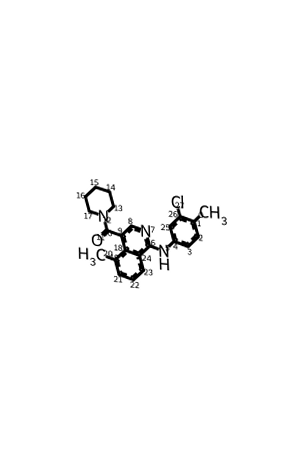 Cc1ccc(Nc2ncc(C(=O)N3CCCCC3)c3c(C)cccc23)cc1Cl